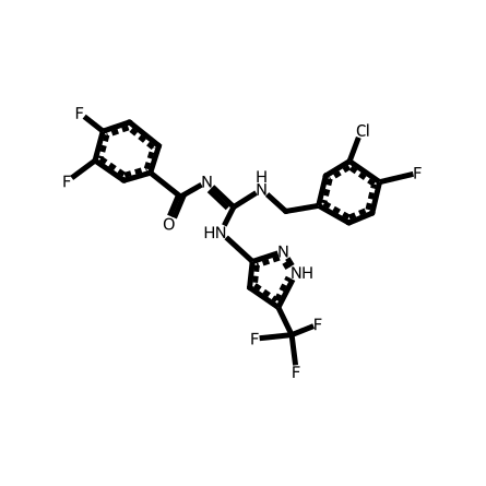 O=C(/N=C(/NCc1ccc(F)c(Cl)c1)Nc1cc(C(F)(F)F)[nH]n1)c1ccc(F)c(F)c1